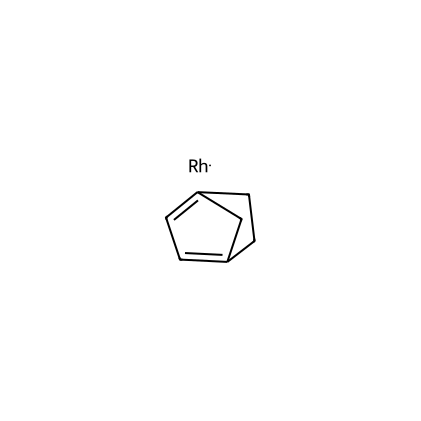 C1=C2CCC(=C1)C2.[Rh]